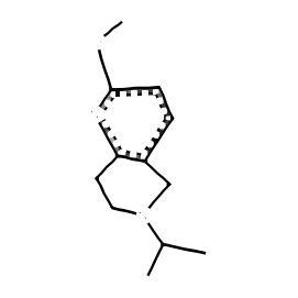 COc1ccc2c(n1)CCN(C(C)C)C2